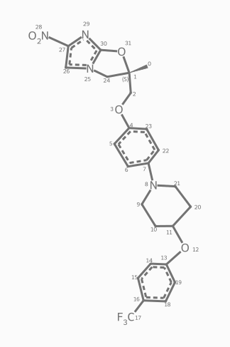 C[C@@]1(COc2ccc(N3CCC(Oc4ccc(C(F)(F)F)cc4)CC3)cc2)Cn2cc([N+](=O)[O-])nc2O1